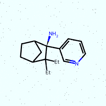 CCC1(CC)C2CCC(C2)[C@]1(N)c1cccnc1